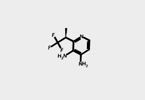 C[C@@H](c1nccc(N)c1N)C(F)(F)F